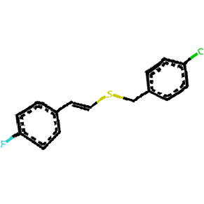 Fc1ccc(C=CSCc2ccc(Cl)cc2)cc1